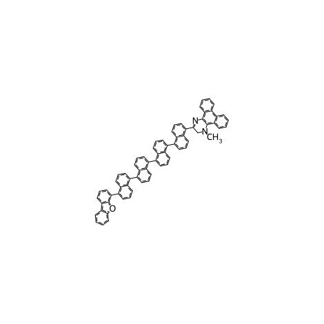 CN1CC(c2cccc3c(-c4cccc5c(-c6cccc7c(-c8cccc9c(-c%10cccc%11c%10oc%10ccccc%10%11)cccc89)cccc67)cccc45)cccc23)=Nc2c1c1ccccc1c1ccccc21